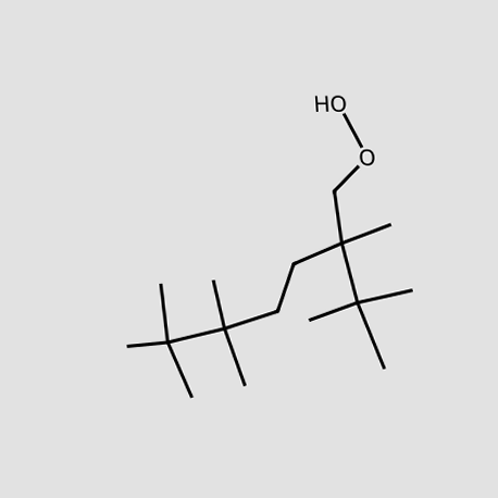 CC(C)(C)C(C)(C)CCC(C)(COO)C(C)(C)C